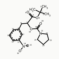 CC(C)(C)OC(=O)C(Cc1cccc([N+](=O)[O-])c1)OC(=O)N1CCCC1